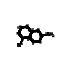 Nc1ccc2c(Cl)cncc2c1